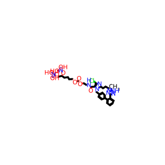 CCCCc1nc(Cl)c(C(=O)NCCOC(=O)OCCCCC(CON(O)O)ON(O)O)n1Cc1ccc(-c2ccccc2-c2nn[nH]n2)cc1